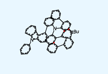 CC(C)(C)c1ccc(-c2ccccc2)c(N(c2ccccc2-c2cccc3cccc(-c4ccccc4)c23)c2ccccc2-c2cccc3c2c2ccccc2n3-c2ccccc2)c1